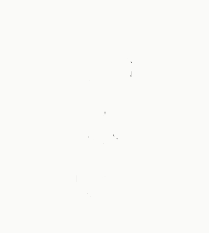 CC1CC(=O)NN=C1c1ccc(NC(=O)OCC(Cl)(Cl)Cl)cc1